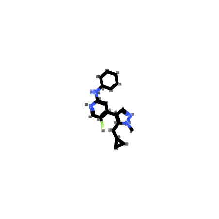 Cn1ncc(-c2cc(NC3CCCCC3)ncc2F)c1CC1CC1